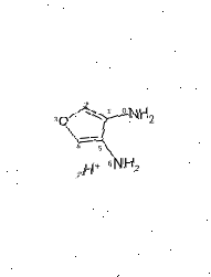 Nc1cocc1N.[H+]